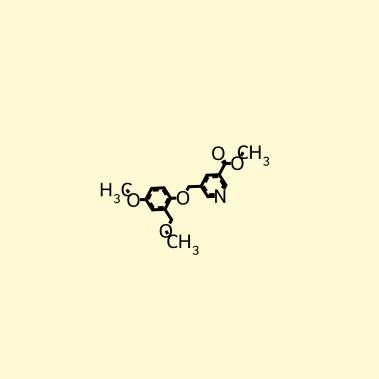 COCc1cc(OC)ccc1OCc1cncc(C(=O)OC)c1